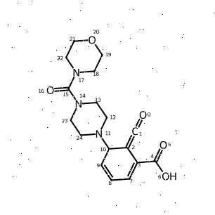 O=C=C1C(C(=O)O)=CC=CC1N1CCN(C(=O)N2CCOCC2)CC1